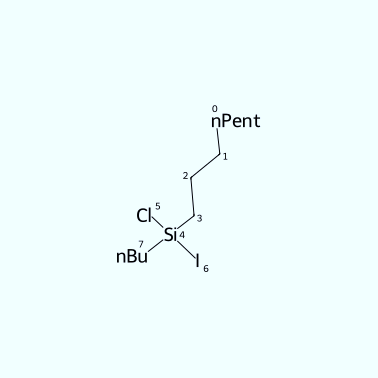 CCCCCCCC[Si](Cl)(I)CCCC